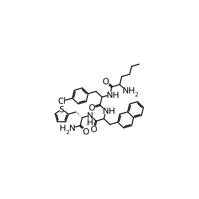 CCCCC(N)C(=O)NC(Cc1ccc(Cl)cc1)C(=O)NC(Cc1ccc2ccccc2c1)C(=O)N[C@@H](Cc1cccs1)C(N)=O